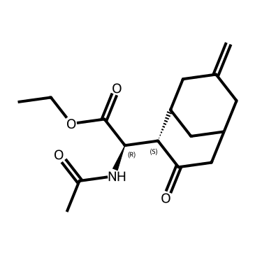 C=C1CC2CC(=O)[C@H]([C@@H](NC(C)=O)C(=O)OCC)C(C1)C2